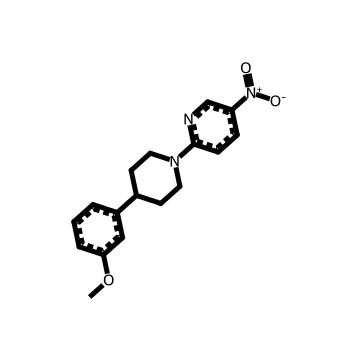 COc1cccc(C2CCN(c3ccc([N+](=O)[O-])cn3)CC2)c1